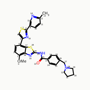 COc1ccc(-c2csc(-c3ccc(C)nc3)n2)c2sc(NC(=O)c3ccc(CN4CCCC4)cc3)nc12